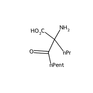 CCCCCC(=O)C(N)(CCC)C(=O)O